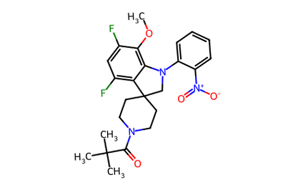 COc1c(F)cc(F)c2c1N(c1ccccc1[N+](=O)[O-])CC21CCN(C(=O)C(C)(C)C)CC1